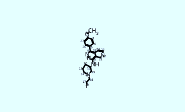 COc1ccc(-c2nnc(N[C@@H]3CCCN(CCF)C3)c3cnccc23)cc1